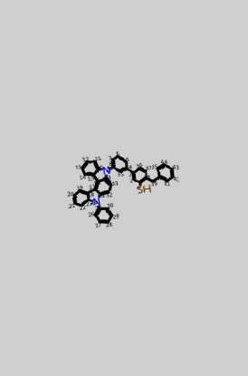 Sc1cc(-c2cccc(-n3c4ccccc4c4c5c6ccccc6n(-c6ccccc6)c5ccc43)c2)ccc1Cc1ccccc1